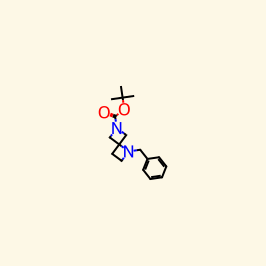 CC(C)(C)OC(=O)N1CC2(CCN2Cc2ccccc2)C1